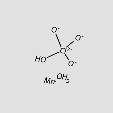 O.[Mn].[O-][Cl+3]([O-])([O-])O